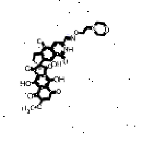 COC1=CC(=O)c2c(O)c3c(c(O)c2C1=O)C(=O)[C@]1(CCc2c1c(O)c1c(=O)[nH]c(/C=N/OCCN4CCOCC4)cc1c2Cl)C3=O